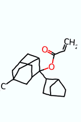 C=CC(=O)OC1(C2CC3CCC2C3)C2CC3CC1CC(C)(C3)C2